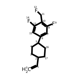 C=CC1CCC(c2cc(F)c(CF)c(F)c2)CC1